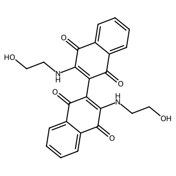 O=C1C(NCCO)=C(C2=C(NCCO)C(=O)c3ccccc3C2=O)C(=O)c2ccccc21